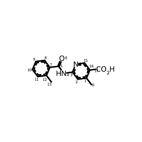 Cc1cc(NC(=O)c2ccccc2C)ncc1C(=O)O